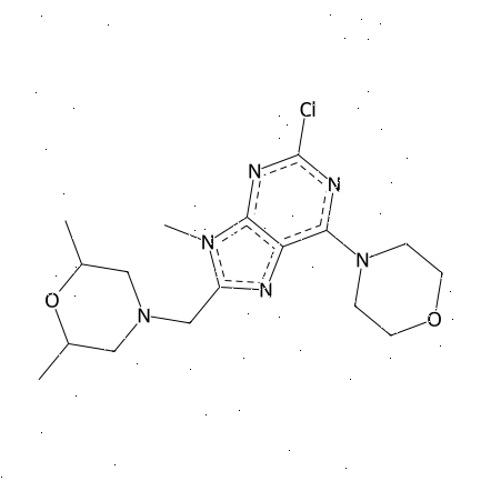 CC1CN(Cc2nc3c(N4CCOCC4)nc(Cl)nc3n2C)CC(C)O1